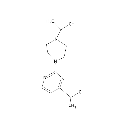 CC(C)c1ccnc(N2CCN(C(C)C)CC2)n1